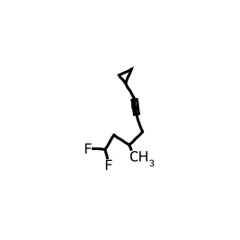 CC(CC#CC1CC1)CC(F)F